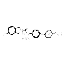 Br.NC12CCC(c3ccc(NC(=O)N4Cc5ccc(F)cc5C4)cc3)(CC1)CC2